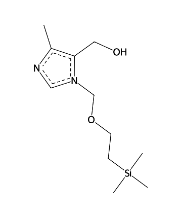 Cc1ncn(COCC[Si](C)(C)C)c1CO